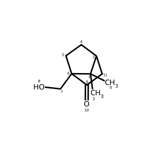 CC1(C)C2CCC1(CO)C(=O)C2